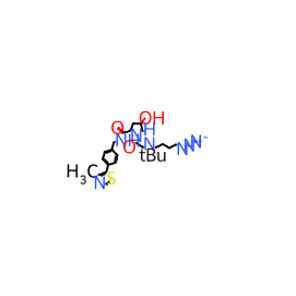 Cc1ncsc1-c1ccc(CNC(=O)C2CC(O)CN2C(=O)C(NCCCCN=[N+]=[N-])C(C)(C)C)cc1